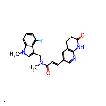 CN(Cc1cn(C)c2cccc(F)c12)C(=O)C=Cc1cnc2c(c1)CCC(=O)N2